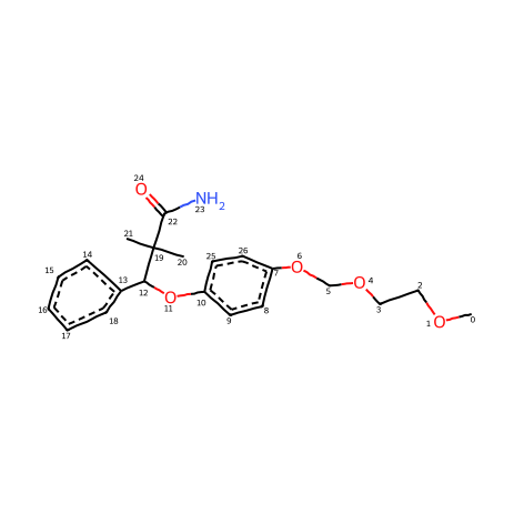 COCCOCOc1ccc(OC(c2ccccc2)C(C)(C)C(N)=O)cc1